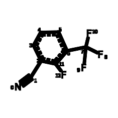 N#Cc1cccc(C(F)(F)F)c1F